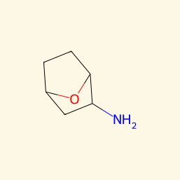 NC1CC2CCC1O2